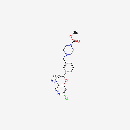 CC(Oc1cc(Cl)nnc1N)c1cccc(CN2CCN(C(=O)OC(C)(C)C)CC2)c1